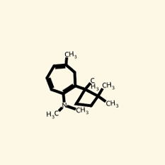 CC1=CC=CC(N(C)C)=C(C2(C)CCC2(C)C)C1